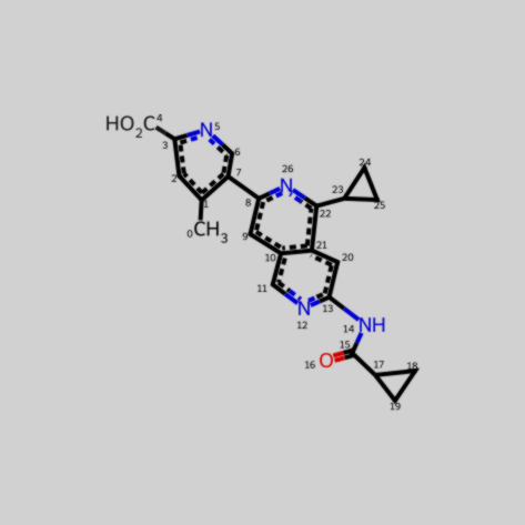 Cc1cc(C(=O)O)ncc1-c1cc2cnc(NC(=O)C3CC3)cc2c(C2CC2)n1